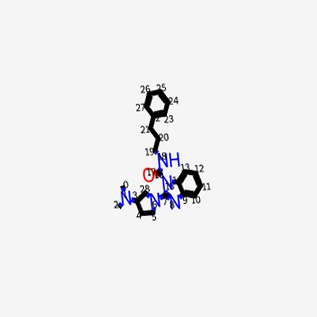 CN(C)C1CCN(c2nc3ccccc3n2C(=O)NCCCc2ccccc2)C1